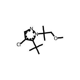 COCC(C)(C)n1ncc(Cl)c1C(C)(C)C